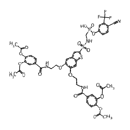 CC(=O)Oc1ccc(C(=O)NCCOc2cc3cc(S(=O)(=O)NCP(=O)(O)Oc4ccc(C#N)c(C(F)(F)F)c4)sc3cc2OCCNC(=O)c2ccc(OC(C)=O)c(OC(C)=O)c2)cc1OC(C)=O